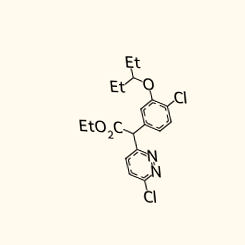 CCOC(=O)C(c1ccc(Cl)c(OC(CC)CC)c1)c1ccc(Cl)nn1